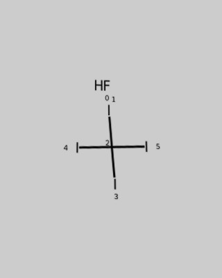 F.IC(I)(I)I